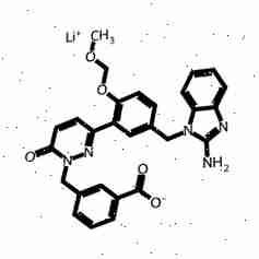 COCOc1ccc(Cn2c(N)nc3ccccc32)cc1-c1ccc(=O)n(Cc2cccc(C(=O)[O-])c2)n1.[Li+]